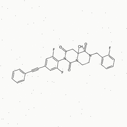 CC12CC(=O)N(c3c(F)cc(C#Cc4ccccc4)cc3F)C(=O)N1CCN(Cc1ccccc1F)C2=O